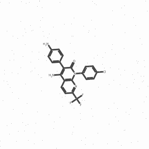 Nc1ccc(-c2c(N)c3ccc(C(F)(F)F)nc3n(-c3ccc(Cl)cc3)c2=O)cc1